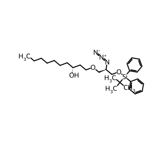 CCCCCCC[C@@H](O)CCOC[C@H](CO[Si](c1ccccc1)(c1ccccc1)C(C)(C)C)N=[N+]=[N-]